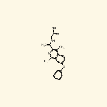 C=C(NCC(=O)O)c1nc(C)c2cc(Oc3ccccc3)ccc2c1C